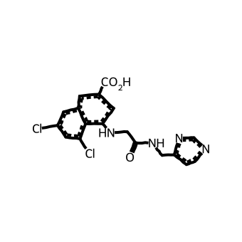 O=C(CNc1cc(C(=O)O)cc2cc(Cl)cc(Cl)c12)NCc1ccncn1